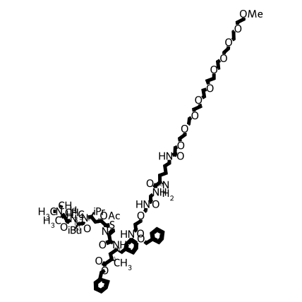 CC[C@H](C)[C@H](NC(=O)C(C)(C)N(C)C)C(=O)N(C)[C@H](C[C@@H](OC(C)=O)c1nc(C(=O)N[C@@H](Cc2ccc(OCc3ccccc3)c(NC(=O)CCOCNC(=O)CNC(=O)[C@@H](N)CCCCNC(=O)COCCOCCOCCOCCOCCOCCOCCOCCOCCOC)c2)C[C@H](C)C(=O)OCc2ccccc2)cs1)C(C)C